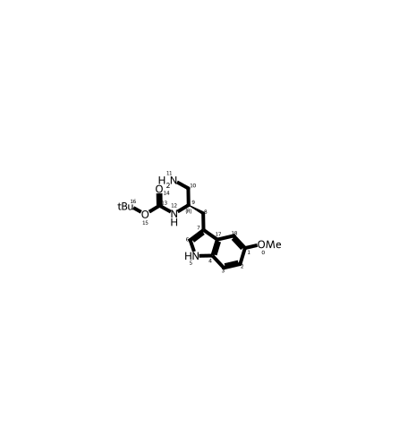 COc1ccc2[nH]cc(C[C@H](CN)NC(=O)OC(C)(C)C)c2c1